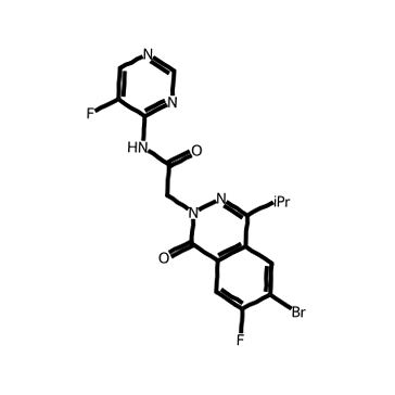 CC(C)c1nn(CC(=O)Nc2ncncc2F)c(=O)c2cc(F)c(Br)cc12